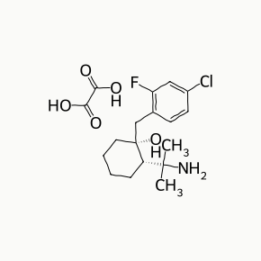 CC(C)(N)[C@@H]1CCCC[C@@]1(O)Cc1ccc(Cl)cc1F.O=C(O)C(=O)O